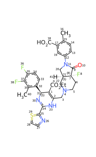 CCOC(=O)C1=C(CN2CC[C@]3(F)C(=O)N(c4ccc(C)c(C(=O)O)c4)C[C@@H]3C2)NC(c2nccs2)=N[C@H]1c1ccc(F)c(F)c1C